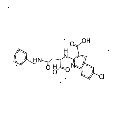 O=C(CC(Nc1nc2ccc(Cl)cc2cc1C(=O)O)C(=O)O)NCc1ccccc1